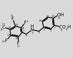 O=C(O)c1cc(CNCc2c(F)c(F)c(C(F)(F)F)c(F)c2F)ccc1O